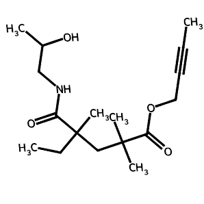 CC#CCOC(=O)C(C)(C)CC(C)(CC)C(=O)NCC(C)O